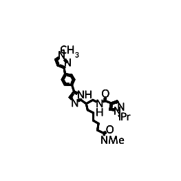 CNC(=O)CCCCCC(CNC(=O)c1cnn(C(C)C)c1)c1ncc(-c2ccc(-c3ccn(C)n3)cc2)[nH]1